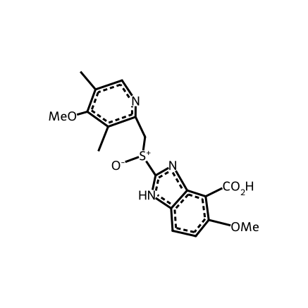 COc1ccc2[nH]c([S+]([O-])Cc3ncc(C)c(OC)c3C)nc2c1C(=O)O